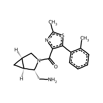 Cc1nc(C(=O)N2C[C@@H]3C[C@@H]3[C@H]2CN)c(-c2ccccc2C)s1